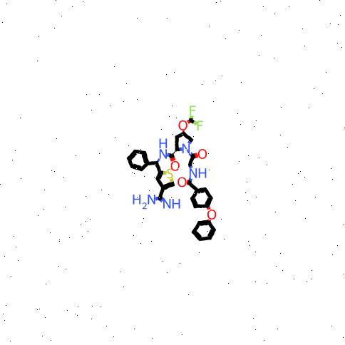 N=C(N)c1csc([C@H](NC(=O)[C@@H]2C[C@@H](OC(F)F)CN2C(=O)CNC(=O)c2ccc(Oc3ccccc3)cc2)c2ccccc2)c1